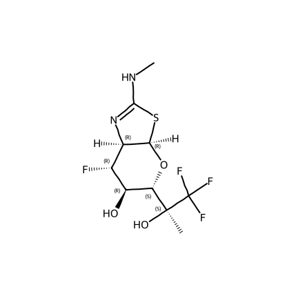 CNC1=N[C@@H]2[C@@H](F)[C@H](O)[C@@H]([C@](C)(O)C(F)(F)F)O[C@@H]2S1